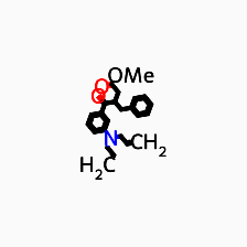 C=CCN(CC=C)c1cccc(C(=O)C(CC(=O)OC)Cc2ccccc2)c1